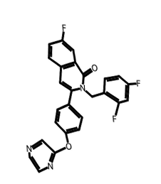 O=c1c2cc(F)ccc2cc(-c2ccc(Oc3cnccn3)cc2)n1Cc1ccc(F)cc1F